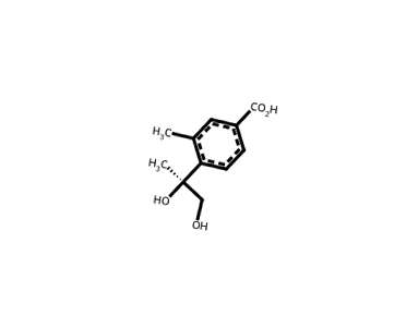 Cc1cc(C(=O)O)ccc1[C@](C)(O)CO